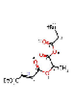 CCOC(=O)/C=C/C(=O)OC(C)C(=O)OC(=O)CC(C)(C)C